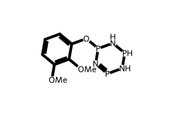 COc1cccc(Op2np[nH][pH][nH]2)c1OC